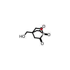 O=C1CC2(CO)CC(=O)P1(=O)C(=O)C2